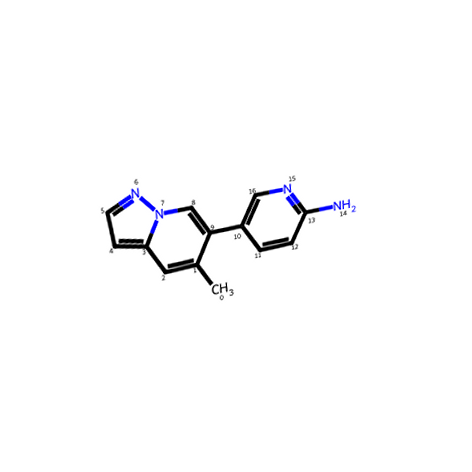 Cc1cc2ccnn2cc1-c1ccc(N)nc1